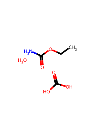 CCOC(N)=O.O.O=C(O)O